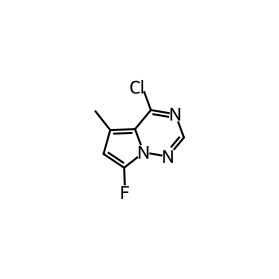 Cc1cc(F)n2ncnc(Cl)c12